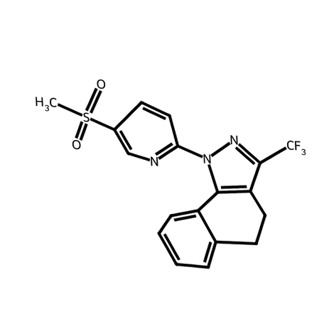 CS(=O)(=O)c1ccc(-n2nc(C(F)(F)F)c3c2-c2ccccc2CC3)nc1